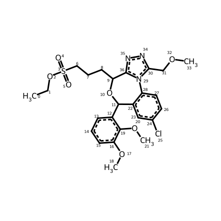 CCOS(=O)(=O)CCCC1OC(c2cccc(OC)c2OC)c2cc(Cl)ccc2-n2c(COC)nnc21